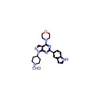 O=CN1CCC(n2ncc3c(N4CCOCC4)nc(-c4ccc5[nH]ccc5c4)nc32)CC1